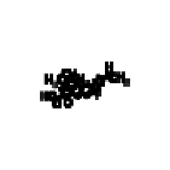 CNC1CN(c2cc3nc4c(cc3cc2F)c(=O)c(C(=O)O)cn4C(C)(C)C)C1